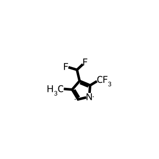 CC1=[C][N]C(C(F)(F)F)=C1C(F)F